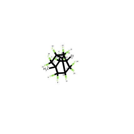 CCC12C(F)(F)C3(C)C(F)(F)C(F)(C(F)(F)C(F)(C3(F)F)C1(F)F)C2(F)F